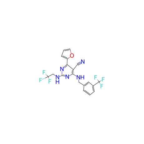 N#Cc1c(NCc2cccc(C(F)(F)F)c2)nc(NCC(F)(F)F)nc1-c1ccco1